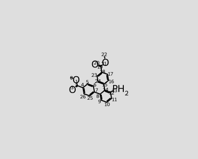 COC(=O)c1ccc(-c2cccc(P)c2-c2ccc(C(=O)OC)cc2)cc1